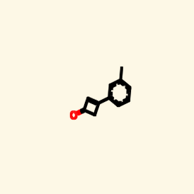 Cc1cccc(C2=CC(=O)C2)c1